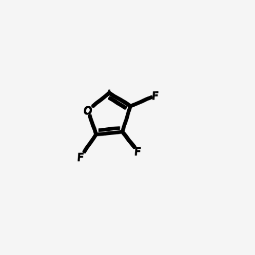 Fc1[c]oc(F)c1F